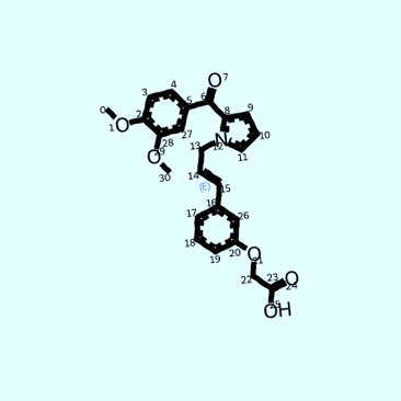 COc1ccc(C(=O)c2cccn2C/C=C/c2cccc(OCC(=O)O)c2)cc1OC